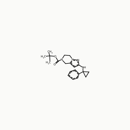 CC(C)(C)OC(=O)N1CCn2nc(NC3(c4ccccc4)CC3)cc2C1